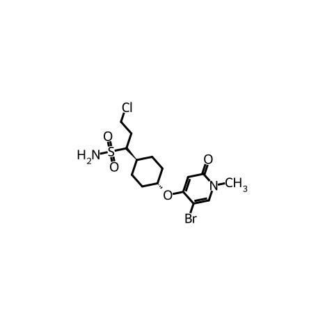 Cn1cc(Br)c(O[C@H]2CC[C@H](C(CCCl)S(N)(=O)=O)CC2)cc1=O